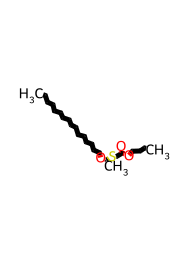 CCCCCCCCCCCCCCCCOC(C)SCC(=O)OCCCC